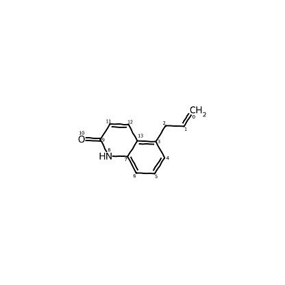 C=CCc1cccc2[nH]c(=O)ccc12